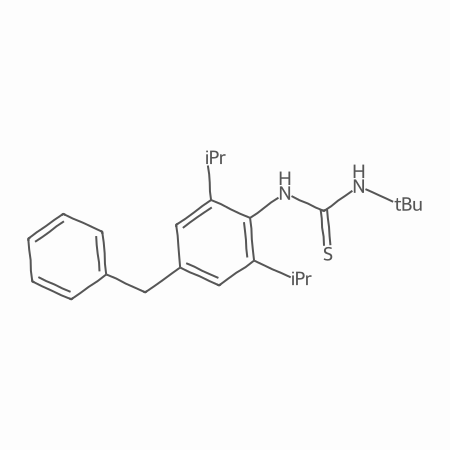 CC(C)c1cc(Cc2ccccc2)cc(C(C)C)c1NC(=S)NC(C)(C)C